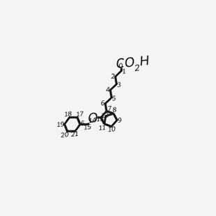 O=C(O)CCCCCCC1C2CCC(C2)C1OCC1CCCCC1